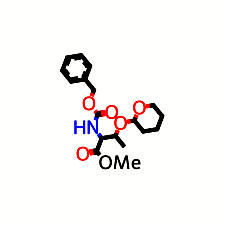 COC(=O)C(NC(=O)OCc1ccccc1)C(C)OC1CCCCO1